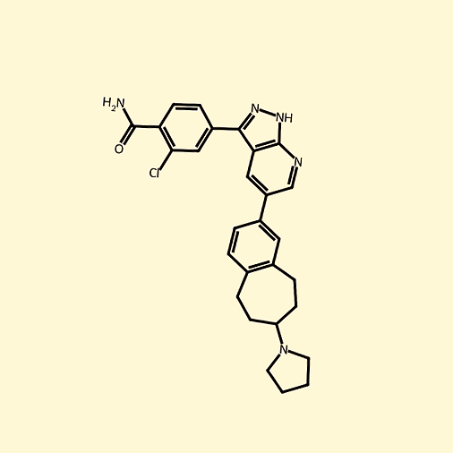 NC(=O)c1ccc(-c2n[nH]c3ncc(-c4ccc5c(c4)CCC(N4CCCC4)CC5)cc23)cc1Cl